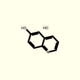 Cl.Oc1ccc2ncccc2c1